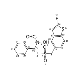 O=CN(O)[C@H](CS(=O)(=O)Cc1ccc2sc(F)cc2c1)c1ccccc1